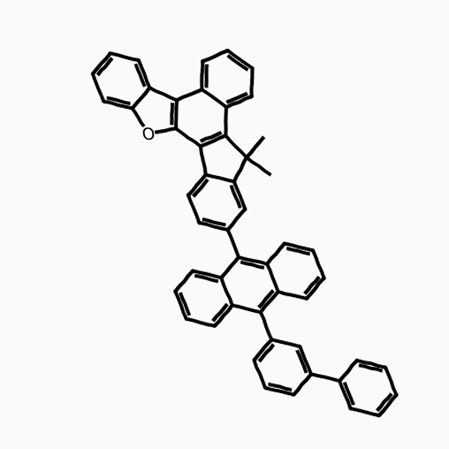 CC1(C)c2cc(-c3c4ccccc4c(-c4cccc(-c5ccccc5)c4)c4ccccc34)ccc2-c2c1c1ccccc1c1c2oc2ccccc21